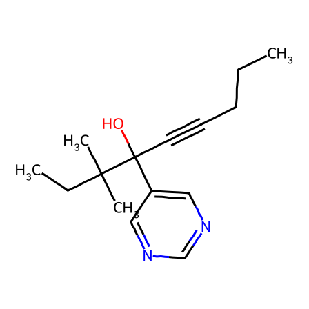 CCCC#CC(O)(c1cncnc1)C(C)(C)CC